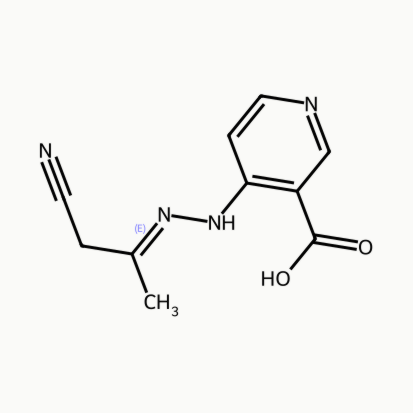 C/C(CC#N)=N\Nc1ccncc1C(=O)O